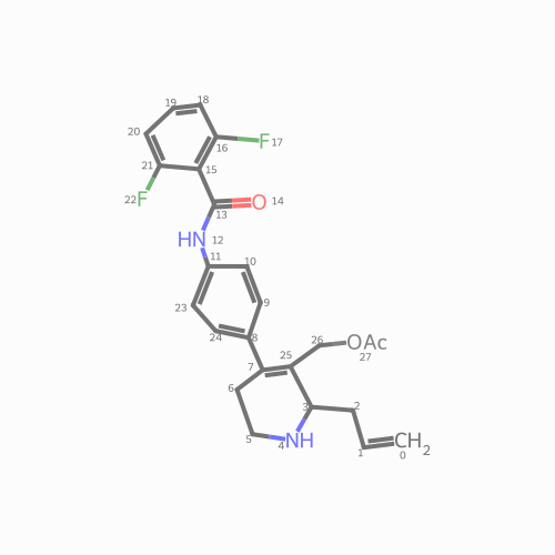 C=CCC1NCCC(c2ccc(NC(=O)c3c(F)cccc3F)cc2)=C1COC(C)=O